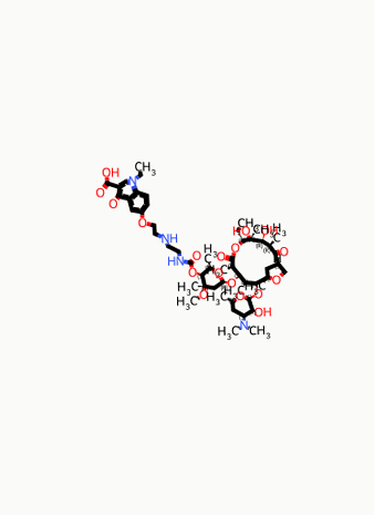 CC[C@H]1OC(=O)[C@H](C)[C@@H](O[C@H]2C[C@@](C)(OC)[C@@H](OC(=O)NCCNCCOc3ccc4c(c3)c(=O)c(C(=O)O)cn4CC)[C@H](C)O2)[C@H](C)[C@@H](O[C@@H]2O[C@H](C)C[C@H](N(C)C)[C@H]2O)[C@@]2(C)C[C@@H](CO2)C(=O)[C@H](C)[C@@H](O)[C@]1(C)O